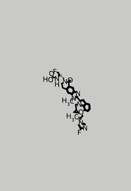 C[C@H](COc1cccc2cc(-c3nc4cc5c(cc4n3C)CCN(C[C@@H](CF)NC(=O)O)C5=O)n(CC3CC3)c12)n1cnc(F)c1